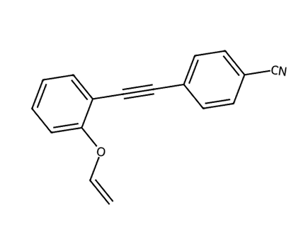 C=COc1ccccc1C#Cc1ccc(C#N)cc1